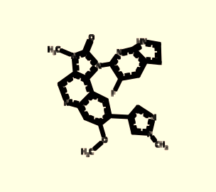 COc1cc2ncc3c(c2cc1-c1cnn(C)c1)n(-c1nc2[nH]ccc2cc1F)c(=O)n3C